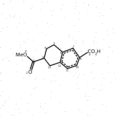 COC(=O)C1CCc2cc(C(=O)O)ccc2C1